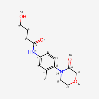 Cc1cc(NC(=O)CCCO)ccc1N1CCOCC1=O